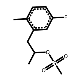 Cc1ccc(F)cc1CC(C)OS(C)(=O)=O